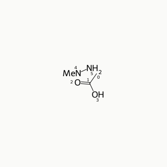 CC(=O)O.CNN